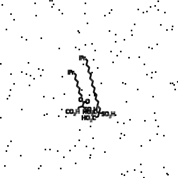 CC(C)CCCCCCCCCCCCCCCC(CC(=O)O)(C(=O)O)S(=O)(=O)O.CC(C)CCCCCCCOC(=O)C(CC(=O)O)S(=O)(=O)O